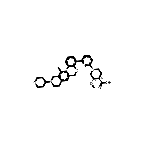 CO[C@@H]1CN(c2cccc(-c3cccc(C)c3OCc3cc(C)c4c(c3)CCN(C3CCOCC3)C4)n2)CC[C@H]1C(=O)O